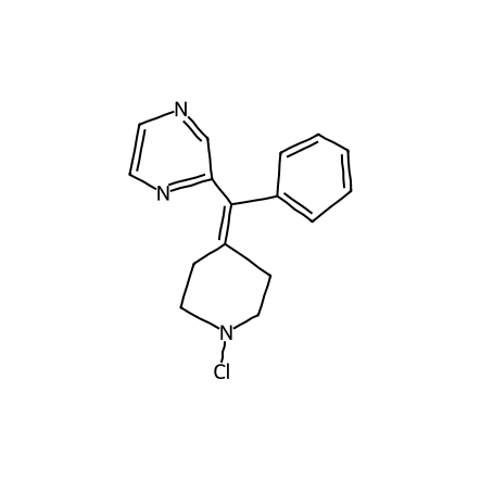 ClN1CCC(=C(c2ccccc2)c2cnccn2)CC1